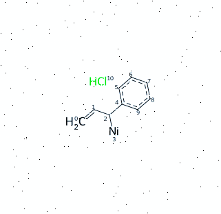 C=C[CH]([Ni])c1ccccc1.Cl